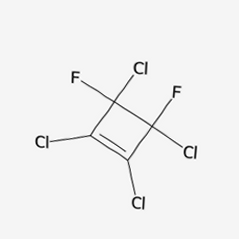 FC1(Cl)C(Cl)=C(Cl)C1(F)Cl